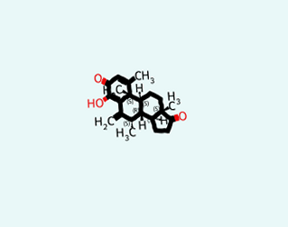 C=C1C2=C(O)C(=O)C=C(C)[C@]2(C)[C@H]2CC[C@]3(C)C(=O)CC[C@H]3[C@@H]2[C@@H]1C